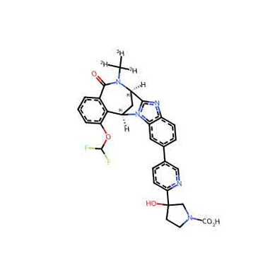 [2H]C([2H])([2H])N1C(=O)c2cccc(OC(F)F)c2[C@H]2C[C@@H]1c1nc3ccc(-c4ccc(C5(O)CCN(C(=O)O)C5)nc4)cc3n12